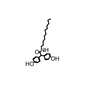 CCCCCCCCCCCCNC(=O)C(c1ccc(O)cc1)c1ccc(O)cc1